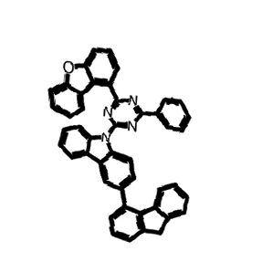 c1ccc(-c2nc(-c3cccc4oc5ccccc5c34)nc(-n3c4ccccc4c4cc(-c5cccc6c5-c5ccccc5C6)ccc43)n2)cc1